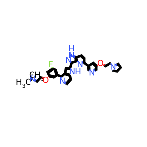 CN(C)CCOc1cc(F)cc(-c2nccc3[nH]c(-c4n[nH]c5ccc(-c6cncc(OCCN7CCCC7)c6)nc45)cc23)c1